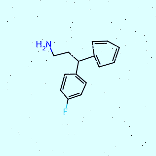 NCCC(c1ccccc1)c1ccc(F)cc1